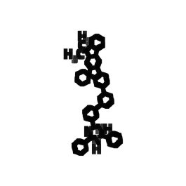 CC1(C)c2ccccc2C2C=C3C(=CC21)C1(CCCCC1)c1cc(C2C=C(c4cccc(C5N=C(C6=CC=CCC6)NC(c6ccccc6)N5)c4)C=CC2)ccc13